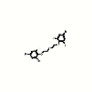 Brc1cc(Br)c(OCCOCCOc2c(Br)cc(Br)cc2Br)c(Br)c1